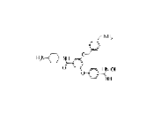 N=C(NO)c1ccc(Oc2cc(OCc3ccc(CN)cc3)cc(C(=O)NC3CCC(N)CC3)c2)cc1